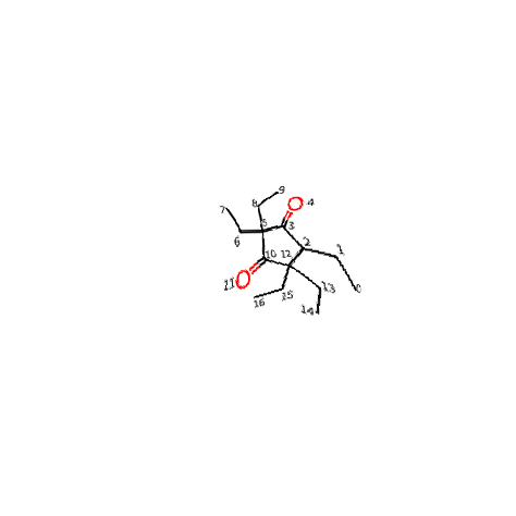 CCC1C(=O)C(CC)(CC)C(=O)C1(CC)CC